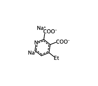 CCc1ccnc(C(=O)[O-])c1C(=O)[O-].[Na+].[Na+]